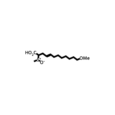 COCCCCCCCC=CCC(C(=O)O)[S+](C)[O-]